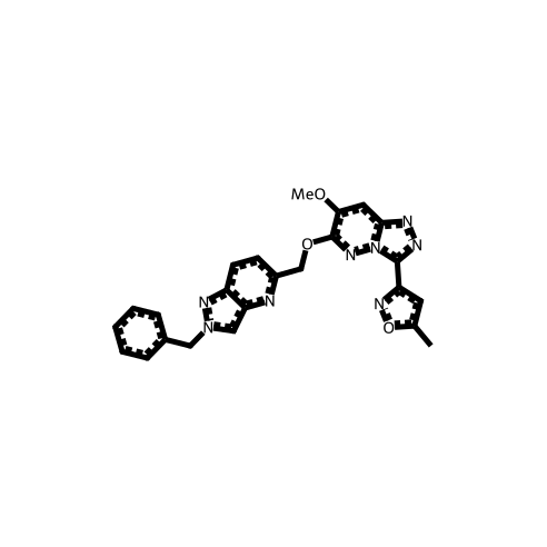 COc1cc2nnc(-c3cc(C)on3)n2nc1OCc1ccc2nn(Cc3ccccc3)cc2n1